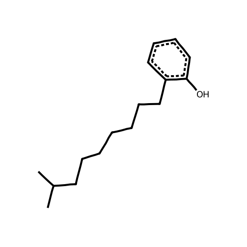 CC(C)CCCCCCCc1ccccc1O